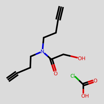 C#CCCN(CCC#C)C(=O)CO.O=C(O)Cl